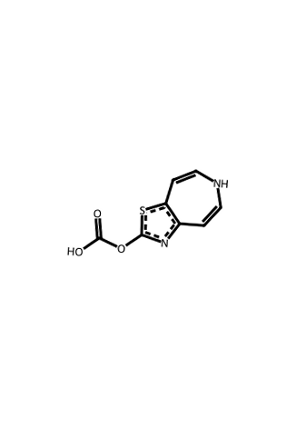 O=C(O)Oc1nc2c(s1)C=CNC=C2